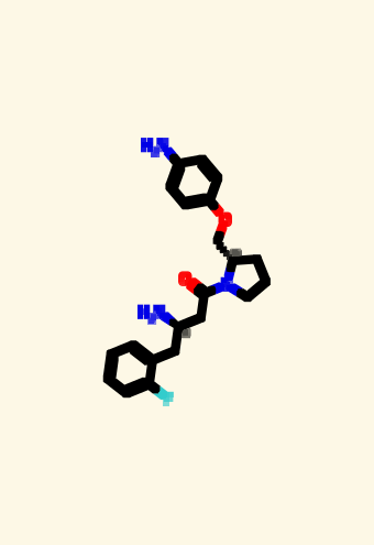 Nc1ccc(OC[C@@H]2CCCN2C(=O)C[C@H](N)Cc2ccccc2F)cc1